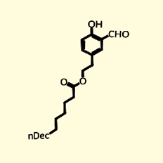 CCCCCCCCCCCCCCCC(=O)OCCc1ccc(O)c(C=O)c1